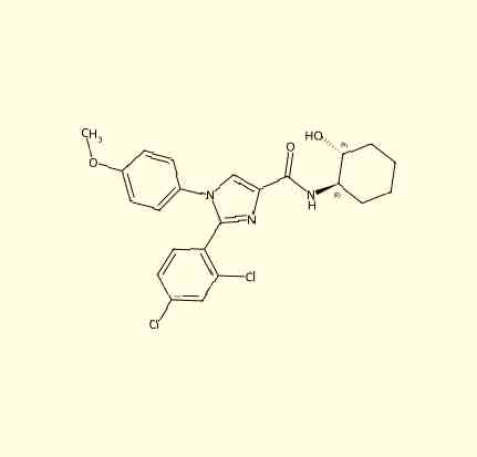 COc1ccc(-n2cc(C(=O)N[C@@H]3CCCC[C@H]3O)nc2-c2ccc(Cl)cc2Cl)cc1